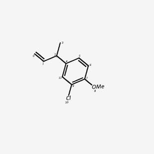 C=C[C](C)c1ccc(OC)c(Cl)c1